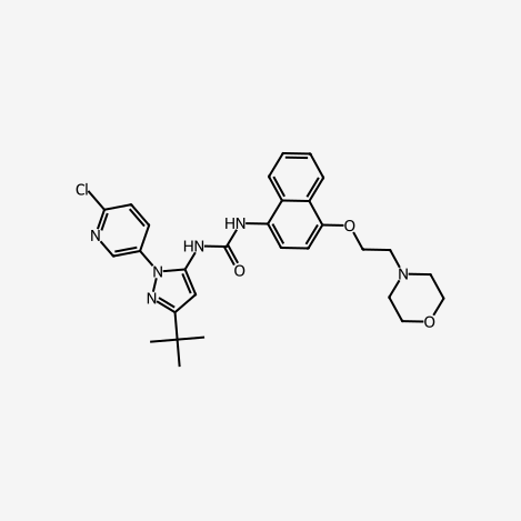 CC(C)(C)c1cc(NC(=O)Nc2ccc(OCCN3CCOCC3)c3ccccc23)n(-c2ccc(Cl)nc2)n1